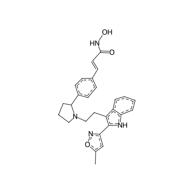 Cc1cc(-c2[nH]c3ccccc3c2CCN2CCCC2c2ccc(/C=C/C(=O)NO)cc2)no1